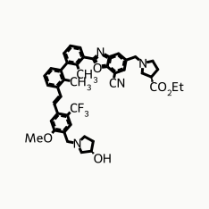 CCOC(=O)[C@@H]1CCN(Cc2cc(C#N)c3oc(-c4cccc(-c5cccc(/C=C/c6cc(OC)c(CN7CC[C@@H](O)C7)cc6C(F)(F)F)c5C)c4C)nc3c2)C1